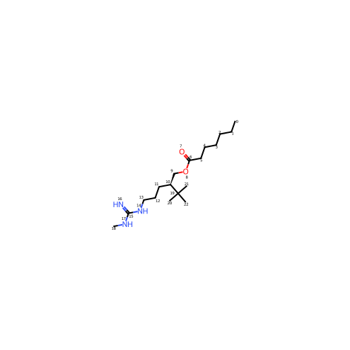 CCCCCCC(=O)OC[C@H](CCCNC(=N)NC)C(C)(C)C